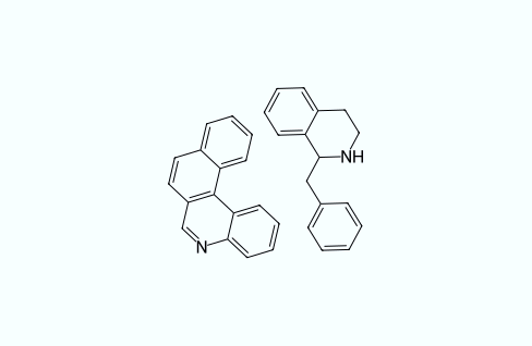 c1ccc(CC2NCCc3ccccc32)cc1.c1ccc2c(c1)ccc1cnc3ccccc3c12